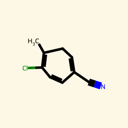 CC1=C(Cl)C=CC(C#N)=CC1